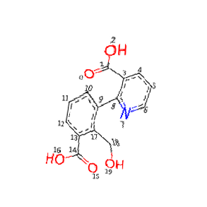 O=C(O)c1cccnc1-c1cccc(C(=O)O)c1CO